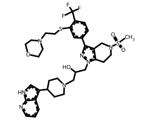 CS(=O)(=O)N1CCc2c(c(-c3ccc(C(F)(F)F)c(SCCN4CCOCC4)c3)nn2CC(O)CN2CCC(c3c[nH]c4ncccc34)CC2)C1